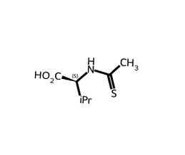 CC(=S)N[C@H](C(=O)O)C(C)C